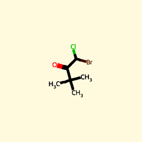 CC(C)(C)C(=O)C(Cl)Br